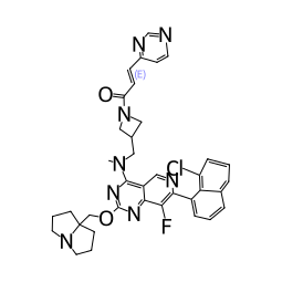 CN(CC1CN(C(=O)/C=C/c2ccncn2)C1)c1nc(OCC23CCCN2CCC3)nc2c(F)c(-c3cccc4cccc(Cl)c34)ncc12